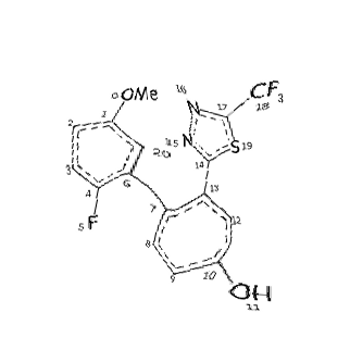 COc1ccc(F)c(-c2ccc(O)cc2-c2nnc(C(F)(F)F)s2)c1